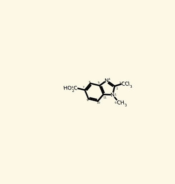 Cn1c(C(Cl)(Cl)Cl)nc2cc(C(=O)O)ccc21